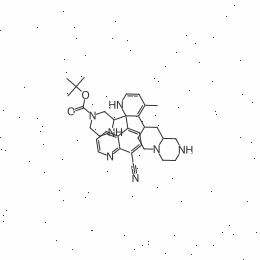 CC1=C(C2CCN3CCNCC3C2)C(c2ccc(C#N)c3ncccc23)(C2CN(C(=O)OC(C)(C)C)CCN2)NC=C1